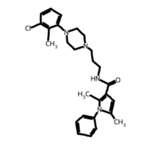 Cc1c(Cl)cccc1N1CCN(CCCNC(=O)c2cc(C)n(-c3ccccc3)c2C)CC1